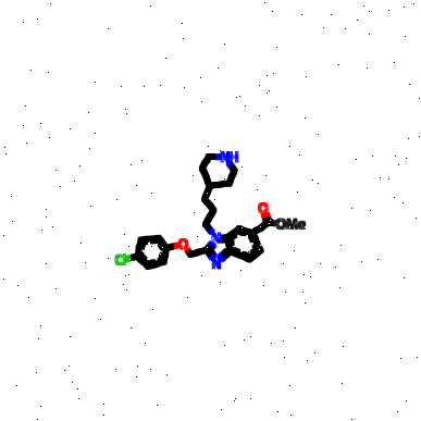 COC(=O)c1ccc2nc(COc3ccc(Cl)cc3)n(CCCC3CCNCC3)c2c1